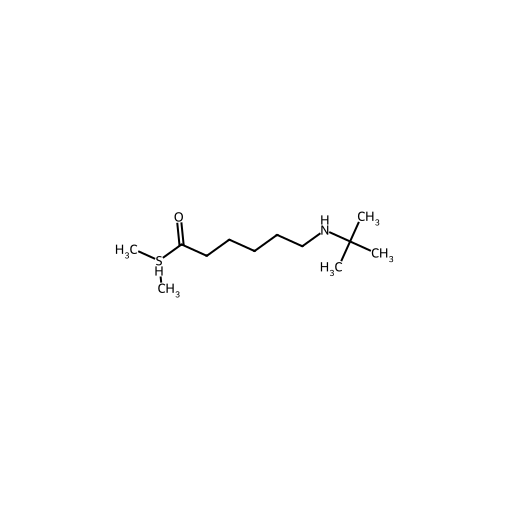 C[SH](C)C(=O)CCCCCNC(C)(C)C